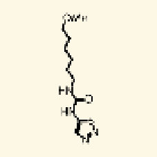 COCCCCCCNC(=O)Nc1cnns1